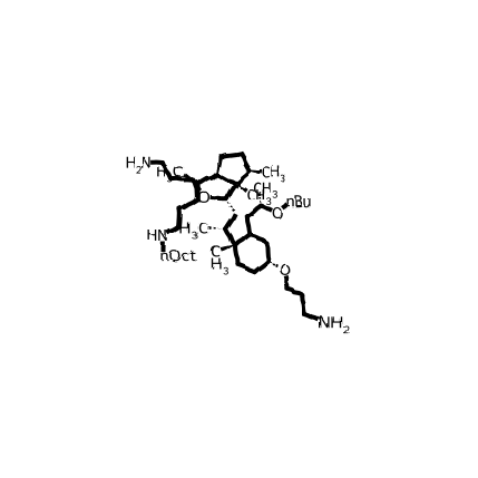 CCCCCCCCNCCC[C@@H](C)[C@H]1CC[C@@H](C)[C@]1(C)[C@H](C[C@@H](C)[C@@]1(C)CC[C@@H](OCCCN)CC1C[C@H](C)OCCCC)OCCCN